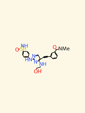 CNC(=O)c1cccc(C#Cc2cnc(Nc3ccc([SH](=N)=O)cc3)nc2N[C@H](C)CO)c1